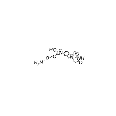 NCCOCCOCCN(C(=O)O)c1ccc2c(c1)CN(C1CCC(=O)NC1=O)C2=O